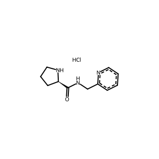 Cl.O=C(NCc1ccccn1)[C@H]1CCCN1